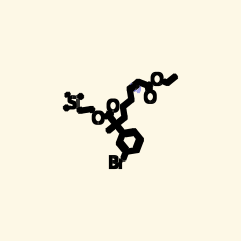 CCOC(=O)/C=C\CCCC(C)(C(=O)OCC[Si](C)(C)C)c1cccc(Br)c1